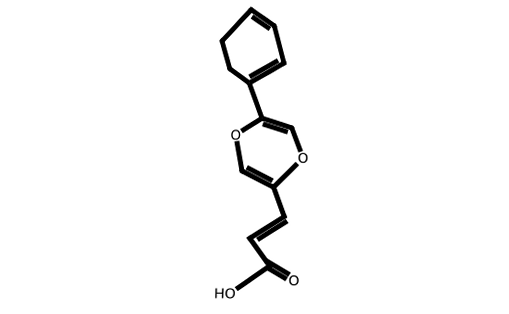 O=C(O)C=CC1=COC(C2=CC=CCC2)=CO1